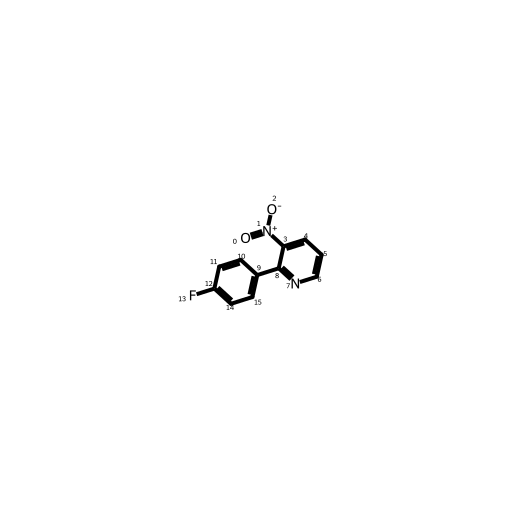 O=[N+]([O-])c1cccnc1-c1ccc(F)cc1